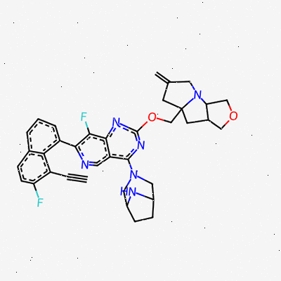 C#Cc1c(F)ccc2cccc(-c3ncc4c(N5CC6CCC(C5)N6)nc(OCC56CC(=C)CN5C5COCC5C6)nc4c3F)c12